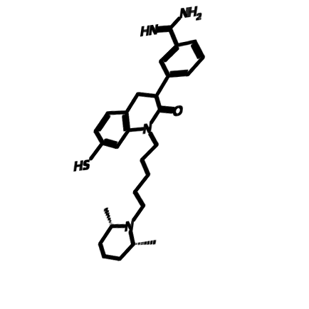 C[C@@H]1CCC[C@H](C)N1CCCCCN1C(=O)C(c2cccc(C(=N)N)c2)Cc2ccc(S)cc21